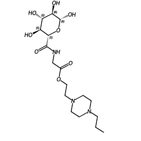 CCCN1CCN(CCOC(=O)CNC(=O)[C@H]2O[C@@H](O)[C@H](O)[C@@H](O)[C@@H]2O)CC1